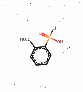 CCP(=O)(O)c1ccccc1C(=O)O